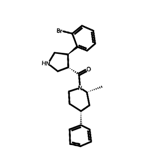 C[C@@H]1C[C@H](c2ccccc2)CCN1C(=O)[C@@H]1CNC[C@H]1c1ccccc1Br